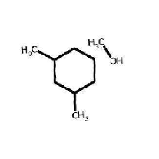 CC1CCCC(C)C1.CO